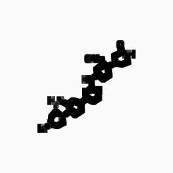 CCN1CCN(c2ccc(-c3ccnc(Nc4ccc(N5CCNC(=O)C5)c(OC)c4)n3)cc2N)CC1